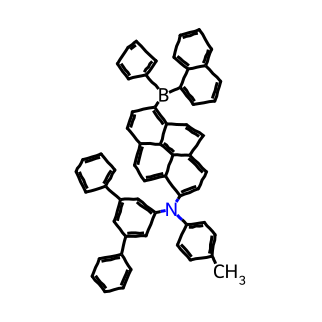 Cc1ccc(N(c2cc(-c3ccccc3)cc(-c3ccccc3)c2)c2ccc3ccc4c(B(c5ccccc5)c5cccc6ccccc56)ccc5ccc2c3c54)cc1